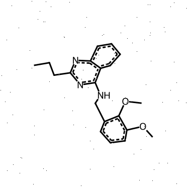 CCCc1nc(NCc2cccc(OC)c2OC)c2ccccc2n1